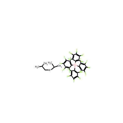 CC(C)[CH2][Al+][CH2]C(C)C.Fc1c(F)c(F)c([B-](c2c(F)c(F)c(F)c(F)c2F)(c2c(F)c(F)c(F)c(F)c2F)c2c(F)c(F)c(F)c(F)c2F)c(F)c1F